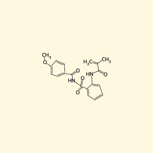 C=C(C)C(=O)Nc1ccccc1S(=O)(=O)NC(=O)c1ccc(OC)cc1